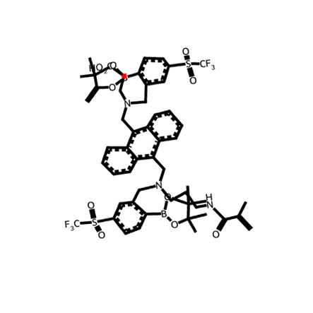 C=C(C)C(=O)NCCCN(Cc1cc(S(=O)(=O)C(F)(F)F)ccc1B1OC(C)(C)C(C)(C)O1)Cc1c2ccccc2c(CN(CCC(=O)O)Cc2cc(S(=O)(=O)C(F)(F)F)ccc2B2OC(=C)C(C)(C)O2)c2ccccc12